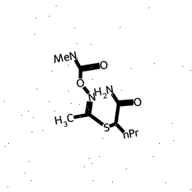 CCCC(SC(C)=NOC(=O)NC)C(N)=O